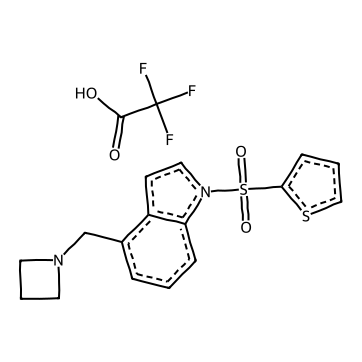 O=C(O)C(F)(F)F.O=S(=O)(c1cccs1)n1ccc2c(CN3CCC3)cccc21